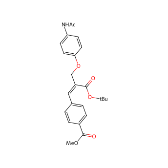 COC(=O)c1ccc(C=C(COc2ccc(NC(C)=O)cc2)C(=O)OC(C)(C)C)cc1